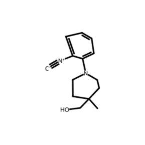 [C-]#[N+]c1ccccc1N1CCC(C)(CO)CC1